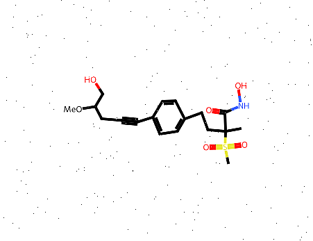 COC(CO)CC#Cc1ccc(CCC(C)(C(=O)NO)S(C)(=O)=O)cc1